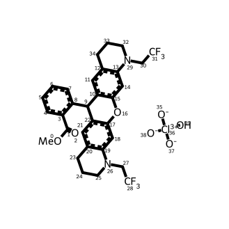 COC(=O)c1ccccc1C1c2cc3c(cc2Oc2cc4c(cc21)CCCN4CC(F)(F)F)N(CC(F)(F)F)CCC3.[O-][Cl+3]([O-])([O-])O